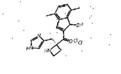 Cc1ccc(C)c2c1C=C(C(=O)[C@@]1(Cc3c[nH]cn3)CCN1)[CH]2[Zr+2].[Cl-].[Cl-]